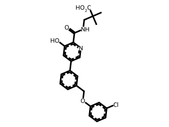 CC(C)(CNC(=O)c1ncc(-c2cccc(COc3cccc(Cl)c3)c2)cc1O)C(=O)O